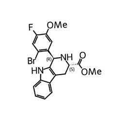 COC(=O)[C@@H]1Cc2c([nH]c3ccccc23)[C@@H](c2cc(OC)c(F)cc2Br)N1